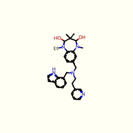 CCN1c2ccc(CN(CCc3cccnc3)Cc3cccc4cc[nH]c34)cc2N(C)C(O)C(C)(C)C1O